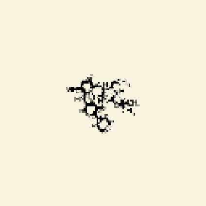 CCC[C@@H](Nc1nc(Nc2cnc(N3CCOCC3)c(F)c2)c(C#N)cc1F)[C@H](C)NC(=O)OC(C)(C)C